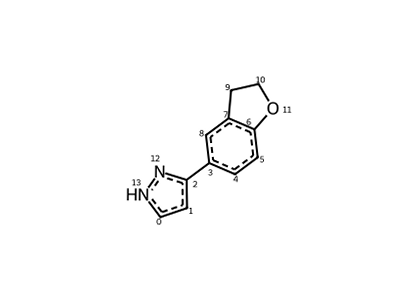 c1cc(-c2ccc3c(c2)CCO3)n[nH]1